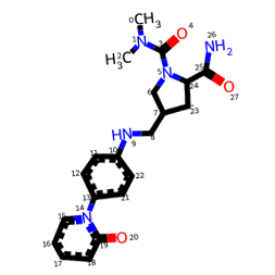 CN(C)C(=O)N1CC(CNc2ccc(-n3ccccc3=O)cc2)[CH]C1C(N)=O